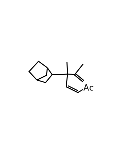 C=C(C)C(C)(/C=C\C(C)=O)C1CC2CCC1C2